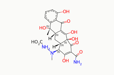 CN(C)[C@@H]1C(O)=C(C(N)=O)C(=O)[C@@]2(O)C(O)=C3C(=O)c4c(O)cccc4[C@@](C)(O)[C@H]3C[C@@H]12.NC(=O)O